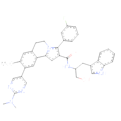 COc1cc2c(cc1-c1cnc(N(C)C)nc1)-c1cc(C(=O)NC(CO)Cc3c[nH]c4ccccc34)c(-c3cccc(F)c3)n1CC2